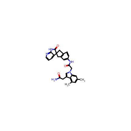 Cc1cc(C)c2c(CC(N)=O)cn(CC(=O)Nc3ccc4c(c3)CC3(C4)C(=O)Nc4ncccc43)c2c1